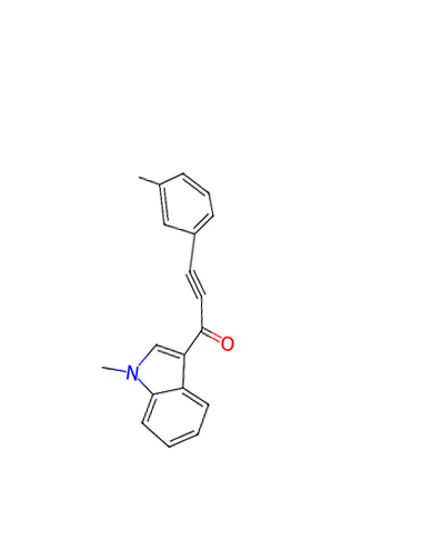 Cc1cccc(C#CC(=O)c2cn(C)c3ccccc23)c1